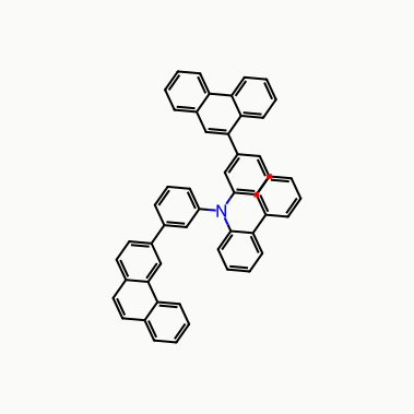 c1ccc(-c2ccccc2N(c2cccc(-c3ccc4ccc5ccccc5c4c3)c2)c2cccc(-c3cc4ccccc4c4ccccc34)c2)cc1